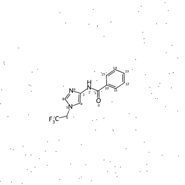 O=C(Nc1cn(CC(F)(F)F)cn1)c1ccccc1